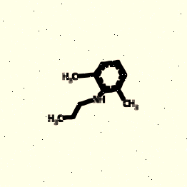 CCCNc1c(C)cccc1C